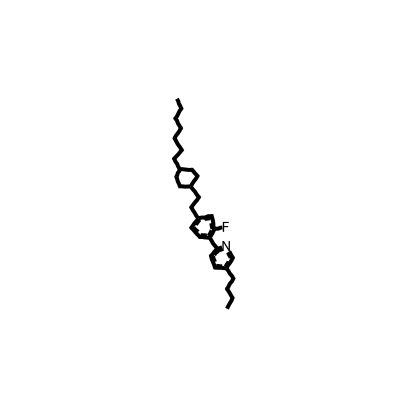 CCCCCCCC1CCC(CCc2ccc(-c3ccc(CCCC)cn3)c(F)c2)CC1